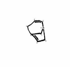 C1=CN2CC=C(C1)C2